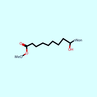 CCCCCCCCCC(O)CCCCCCCC(=O)OOC